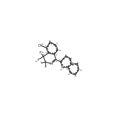 CC1(C)N=C(c2ccc3ccccc3n2)c2cccc(Cl)c2C1(F)F